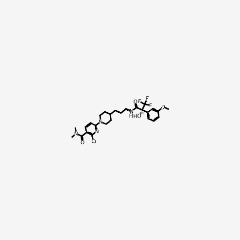 COc1cccc([C@@](O)(C(=O)NCCCC2CCN(c3ccc(C(=O)N(C)C)c(Cl)n3)CC2)C(F)(F)F)c1